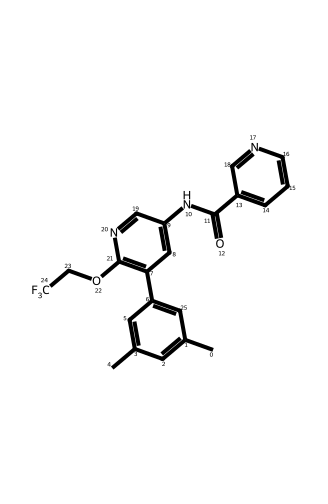 Cc1cc(C)cc(-c2cc(NC(=O)c3cccnc3)cnc2OCC(F)(F)F)c1